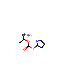 CCCCCCCC(C)OC(=O)OC1CCC[N]1